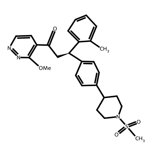 COc1nnccc1C(=O)C[C@H](c1ccc(C2CCN(S(C)(=O)=O)CC2)cc1)c1ccccc1C